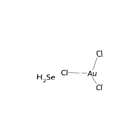 [Cl][Au]([Cl])[Cl].[SeH2]